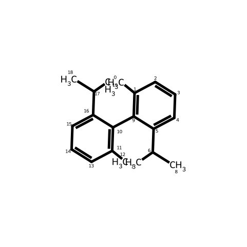 Cc1cccc(C(C)C)c1-c1c(C)cccc1C(C)C